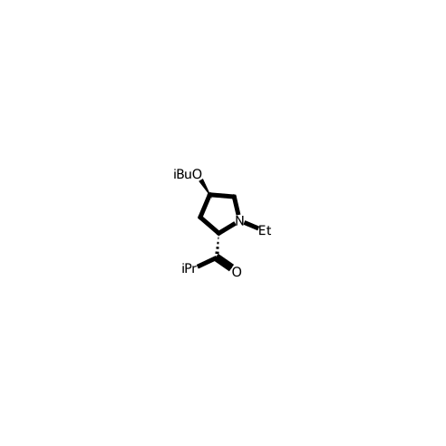 CCN1C[C@H](OCC(C)C)C[C@H]1C(=O)C(C)C